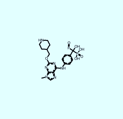 Cn1cnc2c(Nc3ccc(C(O)(P=O)P(=O)(O)O)cc3)nc(OCC3CCNCC3)nc21